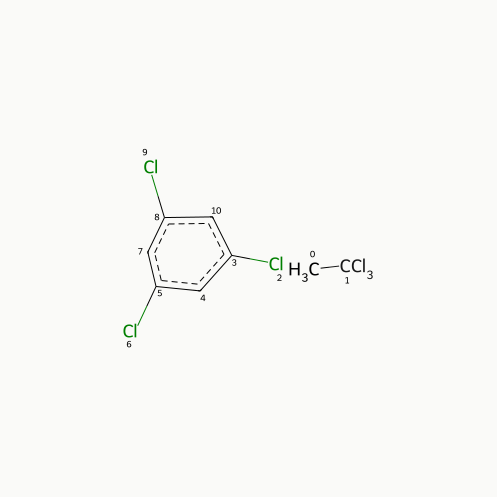 CC(Cl)(Cl)Cl.Clc1cc(Cl)cc(Cl)c1